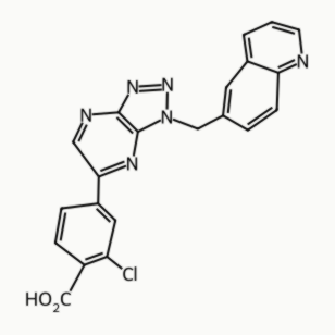 O=C(O)c1ccc(-c2cnc3nnn(Cc4ccc5ncccc5c4)c3n2)cc1Cl